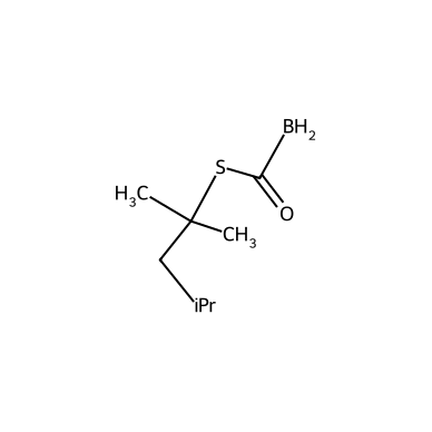 BC(=O)SC(C)(C)CC(C)C